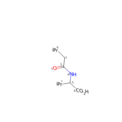 CC(C)CC(=O)NC(C(=O)O)C(C)C